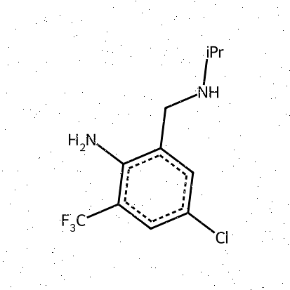 CC(C)NCc1cc(Cl)cc(C(F)(F)F)c1N